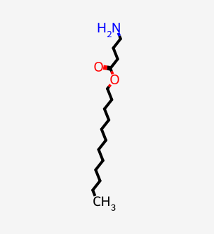 CCCCCCCCCCCCOC(=O)CCCN